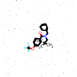 CC(C)(C)CN(Cc1ccccc1)C(=O)c1ccc(OC(F)(F)F)cc1